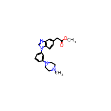 COC(=O)Cc1ccc2c(c1)ncn2-c1cccc(N2CCN(C)CC2)c1